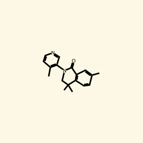 Cc1ccc2c(c1)C(=O)N(c1cnccc1C)CC2(C)C